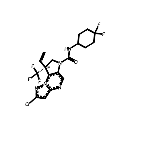 C=C[C@@]1(C(F)(F)F)CN(C(=O)NC2CCC(F)(F)CC2)c2cnc3cc(Cl)nn3c21